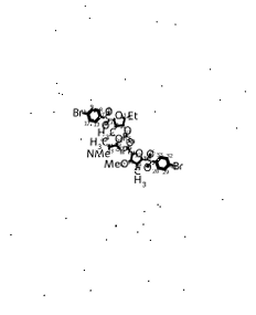 CC[C@H]1O[C@@H](S(=O)(=O)c2ccc(Br)cc2)C(C)[C@H]1OP(OC[C@H]1O[C@@H](S(=O)(=O)c2ccc(Br)cc2)C(C)[C@H]1OC)OC(C(C)C)C(C)NC